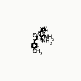 Cc1ccc(CCC(=O)N(Cc2cccs2)C(CN)CN)cc1